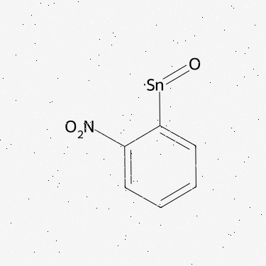 [O]=[Sn][c]1ccccc1[N+](=O)[O-]